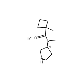 CN(C(=O)C1(C)CCC1)[C@H]1CCNC1.Cl